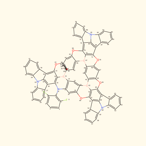 Fc1cccc(F)c1N1c2cc3c(cc2B2c4ccccc4Oc4c2c1c1c2ccccc2n2c5ccccc5c4c12)B1c2cc4c(cc2Oc2c1c(c1c5ccccc5n5c6ccccc6c2c15)O3)Oc1c2c(c3c5ccccc5n5c6ccccc6c1c35)Oc1ccccc1B42